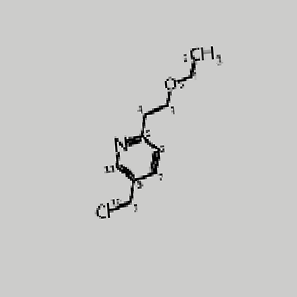 CCOCCc1ccc(CCl)cn1